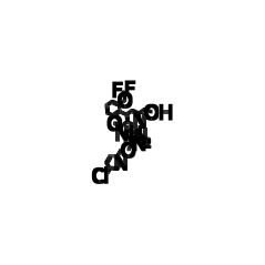 NC(=O)c1c(-c2ccccc2OC(F)F)cc(CO)nc1-c1nnc(OCc2ccc(Cl)cn2)s1